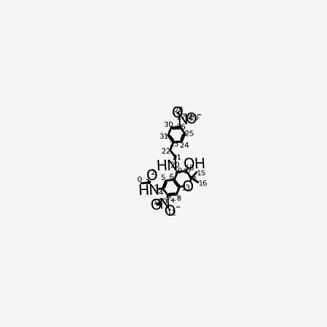 CC(=O)Nc1cc2c(cc1[N+](=O)[O-])OC(C)(C)[C@@H](O)[C@@H]2NCCc1ccc([N+](=O)[O-])cc1